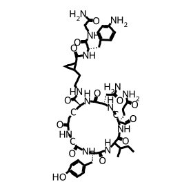 CCC(C)C1NC(=O)[C@H](Cc2ccc(O)cc2)NC(=O)CNC(=O)CC[C@@H](C(=O)NCCC2CC2C(=O)N[C@@H](Cc2ccc(N)cc2)C(=O)NCC(N)=O)NC(=O)[C@H](CC(N)=O)NC[C@](C=O)(CCC(N)=O)NC1=O